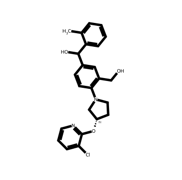 Cc1ccccc1C(O)c1ccc(N2CC[C@H](Oc3ncccc3Cl)C2)c(CO)c1